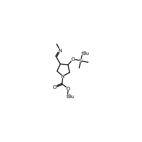 CN=CC1CN(C(=O)OC(C)(C)C)CC1O[Si](C)(C)C(C)(C)C